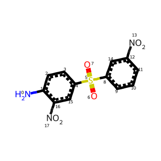 Nc1ccc(S(=O)(=O)c2cccc([N+](=O)[O-])c2)cc1[N+](=O)[O-]